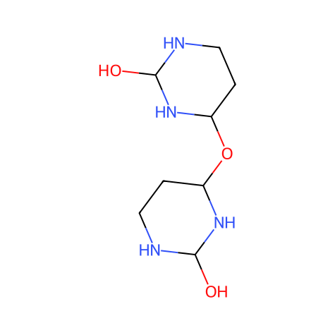 OC1NCCC(OC2CCNC(O)N2)N1